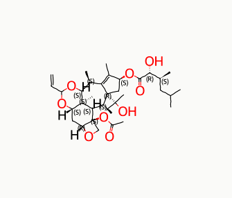 C=CC1O[C@H]2C[C@H]3OC[C@@]3(OC(C)=O)[C@H]3[C@H](C)[C@]4(C(C)(C)O)C[C@H](OC(=O)[C@H](O)[C@@H](C)CC(C)C)C(C)=C4[C@H](C)[C@H](O1)[C@]23C